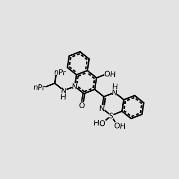 CCCC(CCC)Nn1c(=O)c(C2=NS(O)(O)c3ccccc3N2)c(O)c2ccccc21